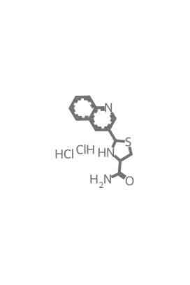 Cl.Cl.NC(=O)C1CSC(c2cnc3ccccc3c2)N1